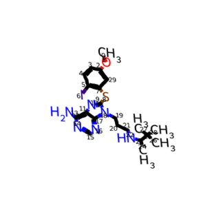 COc1ccc(I)c(Sc2nc3c(N)ncnc3n2CCCNC(C)C(C)(C)C)c1